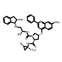 COc1ccc2c(O[C@@H]3C[C@@H](C(=O)N[C@]4(C(=O)O)C[C@H]4I)N(C(=O)N[C@H](CN[C@H]4c5ccccc5C[C@H]4O)C(C)(C)C)C3)cc(-c3ccccc3)nc2c1